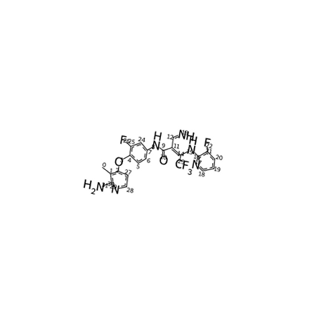 Cc1c(Oc2ccc(NC(=O)/C(C=N)=C(/Nc3ncccc3F)C(F)(F)F)cc2F)ccnc1N